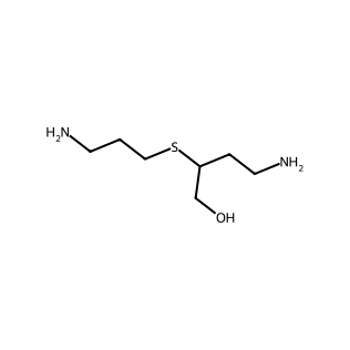 NCCCSC(CO)CCN